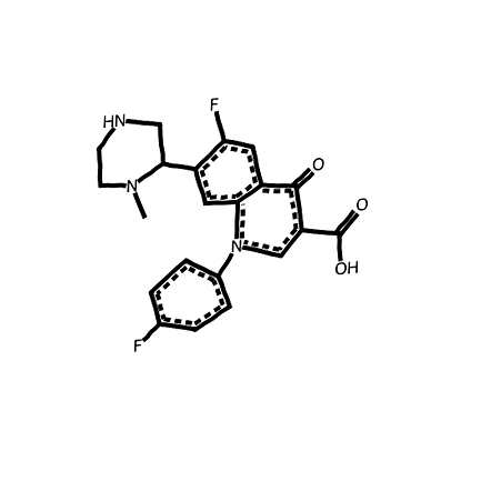 CN1CCNCC1c1cc2c(cc1F)c(=O)c(C(=O)O)cn2-c1ccc(F)cc1